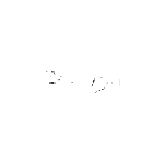 ClC1C=CC(CCCCn2ccnc2)=CC1